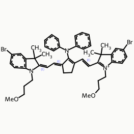 COCCCN1/C(=C/C=C2\CCC(/C=C/C3=[N+](CCCOC)c4ccc(Br)cc4C3(C)C)=C2N(c2ccccc2)c2ccccc2)C(C)(C)c2cc(Br)ccc21